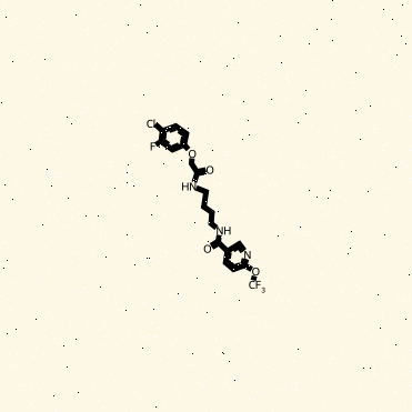 O=C(COc1ccc(Cl)c(F)c1)NCCCCNC(=O)c1ccc(OC(F)(F)F)nc1